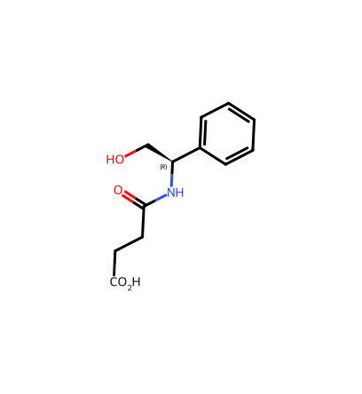 O=C(O)CCC(=O)N[C@@H](CO)c1ccccc1